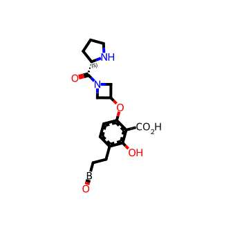 O=BCCc1ccc(OC2CN(C(=O)[C@@H]3CCCN3)C2)c(C(=O)O)c1O